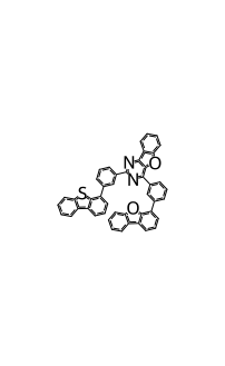 c1cc(-c2cccc3c2oc2ccccc23)cc(-c2nc(-c3cccc(-c4cccc5c4sc4ccccc45)c3)nc3c2oc2ccccc23)c1